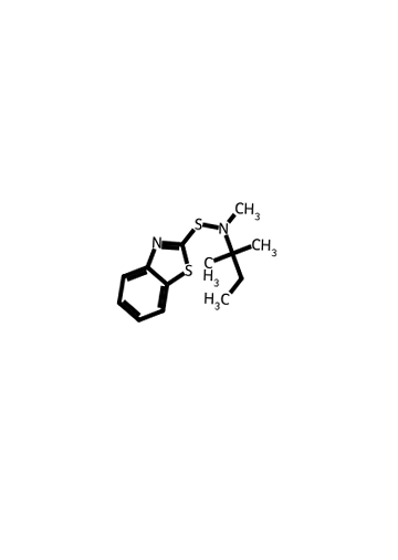 CCC(C)(C)N(C)Sc1nc2ccccc2s1